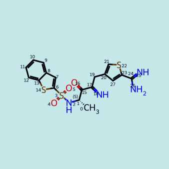 C[C@H](NS(=O)(=O)c1cc2ccccc2s1)C(=O)C(=N)Cc1csc(C(=N)N)c1